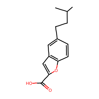 CC(C)CCc1ccc2oc(C(=O)O)cc2c1